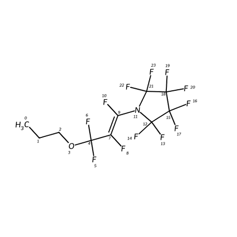 CCCOC(F)(F)/C(F)=C(\F)N1C(F)(F)C(F)(F)C(F)(F)C1(F)F